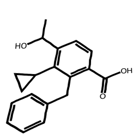 CC(O)c1ccc(C(=O)O)c(Cc2ccccc2)c1C1CC1